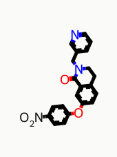 O=C1c2cc(Oc3ccc([N+](=O)[O-])cc3)ccc2CCN1Cc1cccnc1